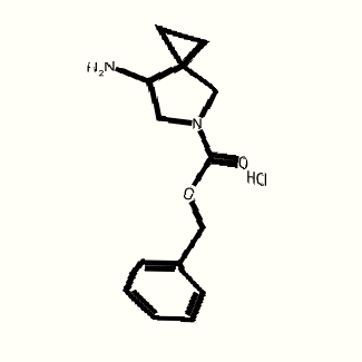 Cl.NC1CN(C(=O)OCc2ccccc2)CC12CC2